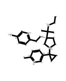 CCOC(C)(C)[C@@]1(CCc2ccc(F)cn2)CCN(C2(c3ccc(C)nc3)CC2)C1